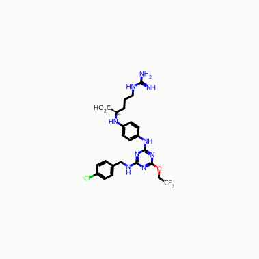 N=C(N)NCCC[C@@H](Nc1ccc(Nc2nc(NCc3ccc(Cl)cc3)nc(OCC(F)(F)F)n2)cc1)C(=O)O